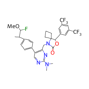 COC(F)C(C)c1ccc(-c2cnc(N(C)C)nc2CN2C(=O)OC(c3cc(C(F)(F)F)cc(C(F)(F)F)c3)C23CCC3)cc1